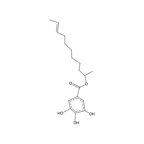 CC=CCCCCCCC(C)OC(=O)c1cc(O)c(O)c(O)c1